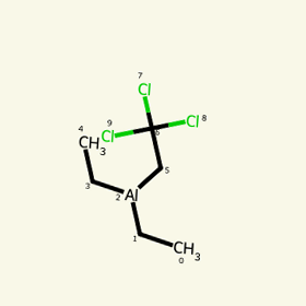 C[CH2][Al]([CH2]C)[CH2]C(Cl)(Cl)Cl